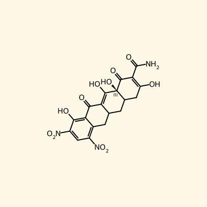 NC(=O)C1=C(O)CC2CC3Cc4c([N+](=O)[O-])cc([N+](=O)[O-])c(O)c4C(=O)C3=C(O)[C@]2(O)C1=O